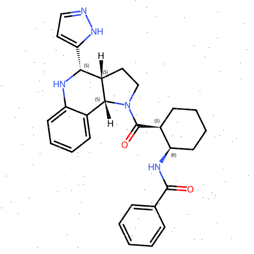 O=C(N[C@@H]1CCCC[C@@H]1C(=O)N1CC[C@H]2[C@@H](c3ccn[nH]3)Nc3ccccc3[C@H]21)c1ccccc1